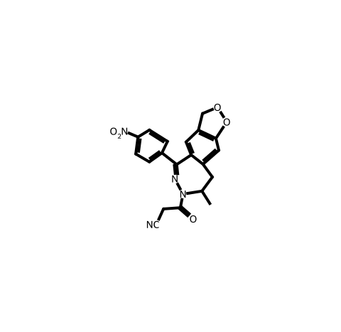 CC1Cc2cc3c(cc2C(c2ccc([N+](=O)[O-])cc2)=NN1C(=O)CC#N)COO3